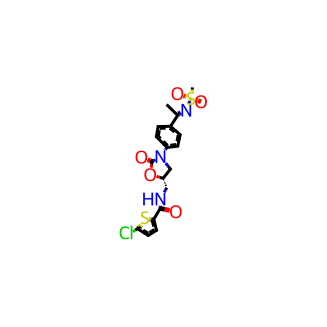 C/C(=N\S(C)(=O)=O)c1ccc(N2C[C@H](CNC(=O)c3ccc(Cl)s3)OC2=O)cc1